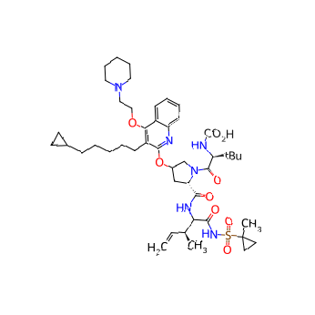 C=C[C@H](C)C(NC(=O)[C@@H]1CC(Oc2nc3ccccc3c(OCCN3CCCCC3)c2CCCCCC2CC2)CN1C(=O)[C@@H](NC(=O)O)C(C)(C)C)C(=O)NS(=O)(=O)C1(C)CC1